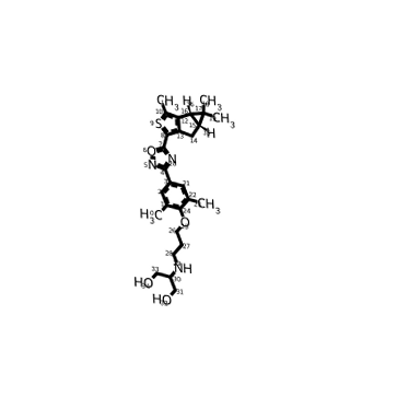 Cc1cc(-c2noc(-c3sc(C)c4c3C[C@@H]3[C@H]4C3(C)C)n2)cc(C)c1OCCCNC(CO)CO